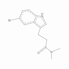 CN(C)C(=O)CCc1c[nH]c2ccc(Br)cc12